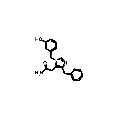 NC(=O)Cc1c(Cc2ccccc2)ncn1Cc1cccc(O)c1